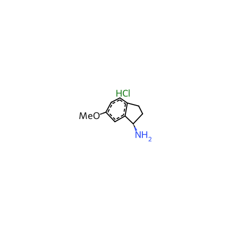 COc1ccc2c(c1)[C@H](N)CC2.Cl